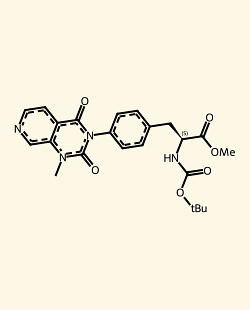 COC(=O)[C@H](Cc1ccc(-n2c(=O)c3ccncc3n(C)c2=O)cc1)NC(=O)OC(C)(C)C